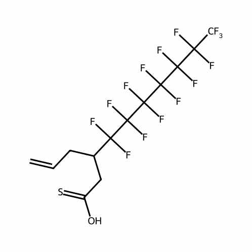 C=CCC(CC(O)=S)C(F)(F)C(F)(F)C(F)(F)C(F)(F)C(F)(F)C(F)(F)C(F)(F)F